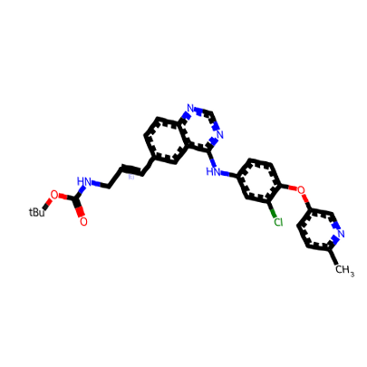 Cc1ccc(Oc2ccc(Nc3ncnc4ccc(/C=C/CNC(=O)OC(C)(C)C)cc34)cc2Cl)cn1